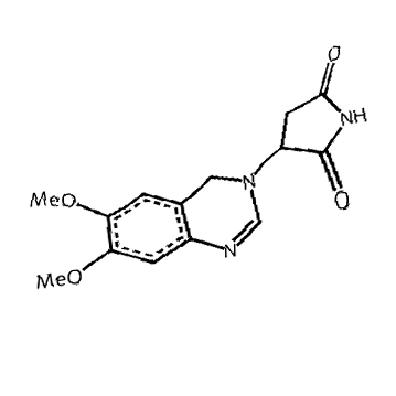 COc1cc2c(cc1OC)N=CN(C1CC(=O)NC1=O)C2